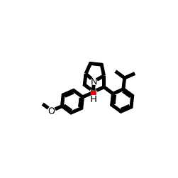 COc1ccc(CN2C3CCC2C(c2ccccc2C(C)C)NC3)cc1